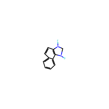 FN1CN(F)c2c1ccc1ccccc21